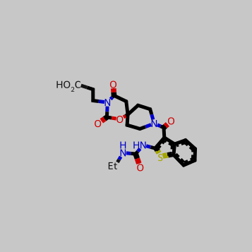 CCNC(=O)Nc1sc2ccccc2c1C(=O)N1CCC2(CC1)CC(=O)N(CCC(=O)O)C(=O)O2